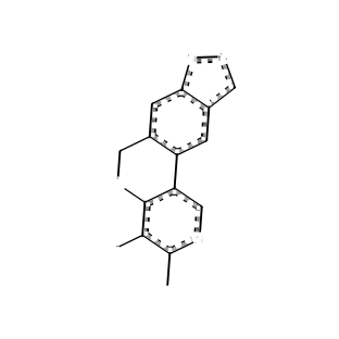 [2H]c1c(C)ncc2c1OCc1cc3[nH]ncc3cc1-2